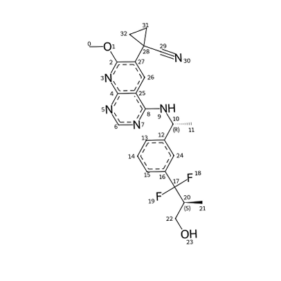 COc1nc2ncnc(N[C@H](C)c3cccc(C(F)(F)[C@@H](C)CO)c3)c2cc1C1(C#N)CC1